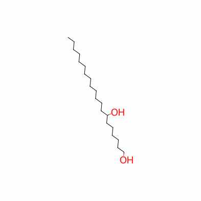 CCCCCCCCCCCCCC(O)CCCCCCO